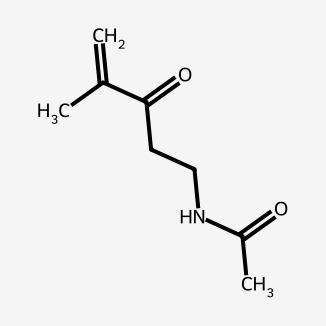 C=C(C)C(=O)CCNC(C)=O